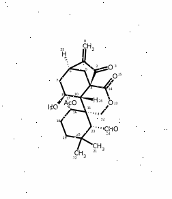 C=C1C(=O)[C@]23C[C@H]1C[C@H](O)[C@H]2[C@]1(COC3=O)[C@@H](OC(C)=O)CCC(C)(C)[C@H]1C=O